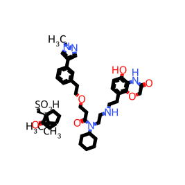 CC1(C)C2CC[C@@]1(CS(=O)(=O)O)C(=O)C2.Cn1cc(-c2cccc(CCOCCC(=O)N(CCNCCc3ccc(O)c4c3OCC(=O)N4)C3CCCCC3)c2)cn1